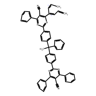 C=C/C=C(\C=C/C)c1nc(-c2ccc(C(C)(c3ccccc3)c3ccc(-c4nc(-c5ccccc5)c(C#N)c(-c5ccccc5)n4)cc3)cc2)nc(-c2ccccc2)c1C#N